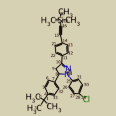 CC(C)(C)c1ccc(C2CC(c3ccc(C#C[Si](C)(C)C)cc3)=NN2c2ccc(Cl)cc2)cc1